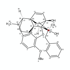 CCCCOc1ccc2c3c1O[C@H]1[C@@]4(O)C=C[C@@]5(C[C@@H]4[C@@](C)(O)Cc4ccccc4)[C@@H](C2)N(C)CC[C@]315